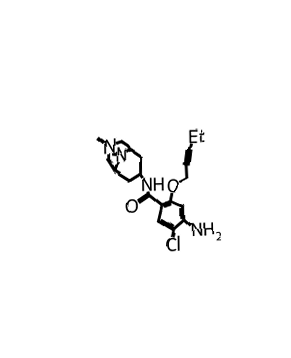 CCC#CCOc1cc(N)c(Cl)cc1C(=O)NC1CC2CN(C)CC(C1)N2C